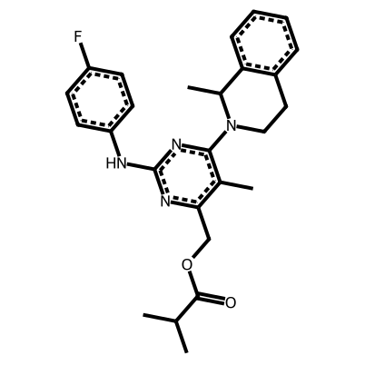 Cc1c(COC(=O)C(C)C)nc(Nc2ccc(F)cc2)nc1N1CCc2ccccc2C1C